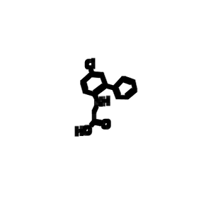 O=C(O)CNc1ccc(Cl)cc1-c1ccccc1